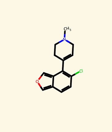 CN1CC=C(c2c(Cl)ccc3cocc23)CC1